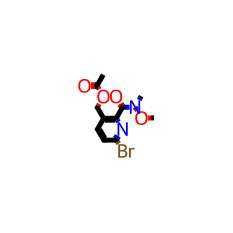 CON(C)C(=O)c1nc(Br)ccc1COC(C)=O